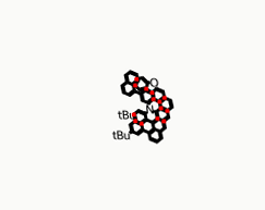 CC(C)(C)c1cc(-c2cccc3cccc(-c4ccccc4N(c4ccccc4-c4ccc5oc6ccccc6c5c4)c4cc(-c5cccc6ccccc56)ccc4-c4ccccc4)c23)cc(C(C)(C)C)c1